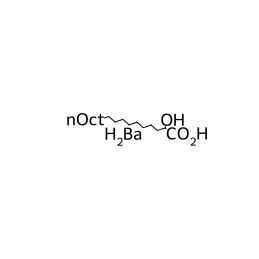 CCCCCCCCCCCCCCCCC(O)C(=O)O.[BaH2]